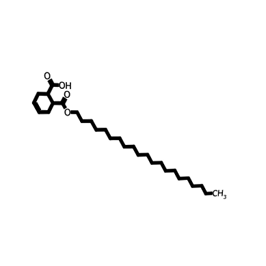 CCCCCCCCCCCCCCCCCCCCCOC(=O)C1CC=CCC1C(=O)O